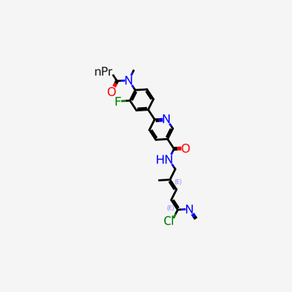 C=N/C(Cl)=C\C=C(/C)CNC(=O)c1ccc(-c2ccc(N(C)C(=O)CCC)c(F)c2)nc1